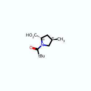 C[C@@H]1C[C@@H](C(=O)O)N(C(=O)C(C)(C)C)C1